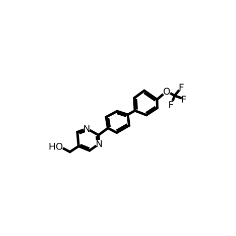 OCc1cnc(-c2ccc(-c3ccc(OC(F)(F)F)cc3)cc2)nc1